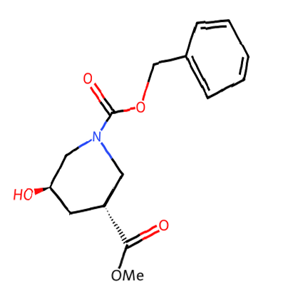 COC(=O)[C@@H]1C[C@@H](O)CN(C(=O)OCc2ccccc2)C1